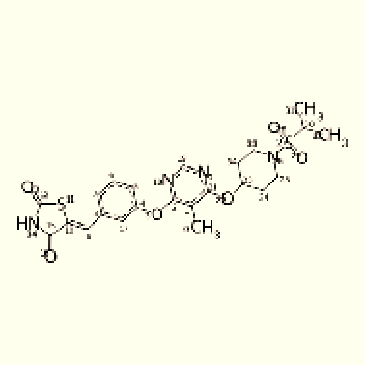 Cc1c(Oc2cccc(/C=C3\SC(=O)NC3=O)c2)ncnc1OC1CCN(S(=O)(=O)C(C)C)CC1